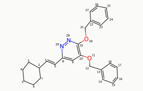 C(=CC1CCCCC1)c1cc(OCc2ccccc2)c(OCc2ccccc2)nn1